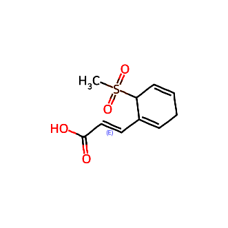 CS(=O)(=O)C1C=CCC=C1/C=C/C(=O)O